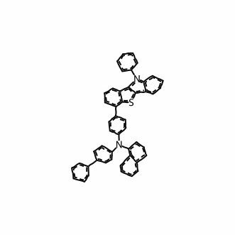 c1ccc(-c2ccc(N(c3ccc(-c4cccc5c4sc4c6ccccc6n(-c6ccccc6)c54)cc3)c3cccc4ccccc34)cc2)cc1